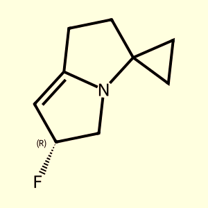 F[C@@H]1C=C2CCC3(CC3)N2C1